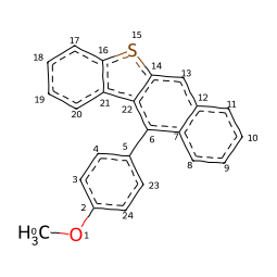 COc1ccc(-c2c3ccccc3cc3sc4ccccc4c23)cc1